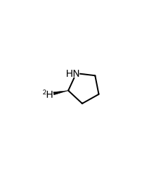 [2H][C@@H]1CCCN1